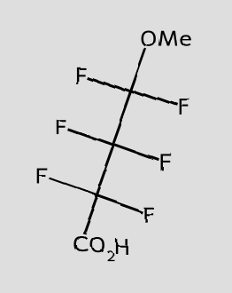 COC(F)(F)C(F)(F)C(F)(F)C(=O)O